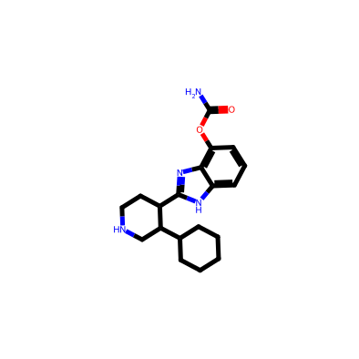 NC(=O)Oc1cccc2[nH]c(C3CCNCC3C3CCCCC3)nc12